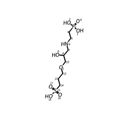 O=P(O)(O)CCNCC(O)COCCCS(=O)(=O)O